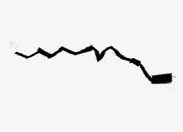 [C]#CC#CCCCCCCCCC